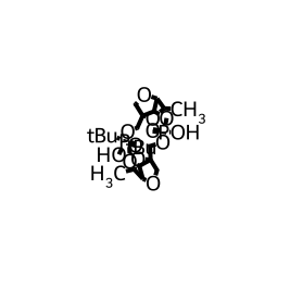 CC1OC2(COP(=O)(O)OC3C4OCC3(COP(=O)(O)C(C)(C)C)OC4C)COC1C2OC(C)(C)C